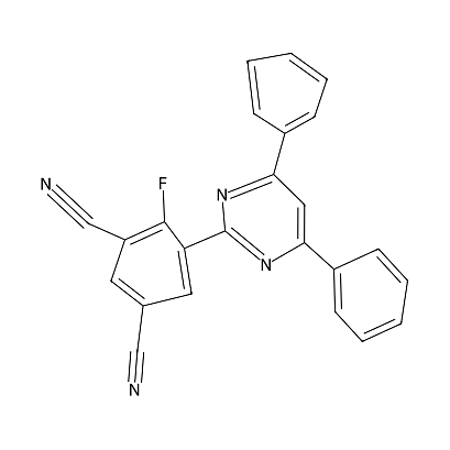 N#Cc1cc(C#N)c(F)c(-c2nc(-c3ccccc3)cc(-c3ccccc3)n2)c1